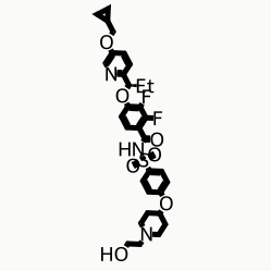 CC[C@@H](Oc1ccc(C(=O)NS(=O)(=O)c2ccc(OC3CCN(CCO)CC3)cc2)c(F)c1F)c1ccc(OCC2CC2)cn1